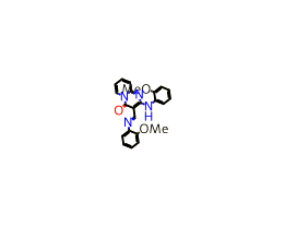 COc1ccccc1N=Cc1c(Nc2ccccc2OC)nc2ccccn2c1=O